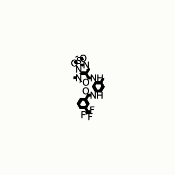 Cc1ccc(NC(=O)c2cccc(C(F)(F)F)c2)cc1NC(=O)c1cnc(S(C)(=O)=O)nc1N(C)C